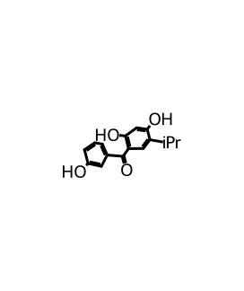 CC(C)c1cc(C(=O)c2cccc(O)c2)c(O)cc1O